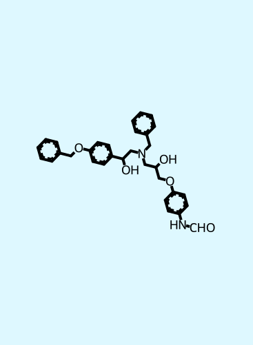 O=CNc1ccc(OCC(O)CN(Cc2ccccc2)CC(O)c2ccc(OCc3ccccc3)cc2)cc1